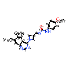 COc1cc2ncnc(N3CC(C=NC(=O)Nc4ccc(OC(C)C)cc4)C3)c2cc1OC